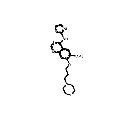 COc1cc2c(Nc3ncc[nH]3)ncnc2cc1OCCCN1CCOCC1